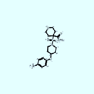 COC(=O)C1(S(=O)(=O)N2CCC(Oc3ccc([N+](=O)[O-])cc3)CC2)CCOCC1